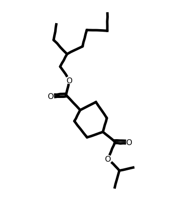 CCCCC(CC)COC(=O)C1CCC(C(=O)OC(C)C)CC1